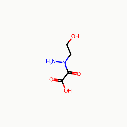 NN(CCO)C(=O)C(=O)O